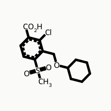 CS(=O)(=O)c1ccc(C(=O)O)c(Cl)c1COC1CCCCC1